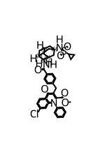 COC(=O)c1c(Cc2ccc(C(=O)N[C@@H]3[C@@H]4C[C@@H]5C[C@H]3C[C@@](NS(=O)(=O)C3CC3)(C5)C4)cc2)c(=O)c2ccc(Cl)cc2n1-c1ccccc1